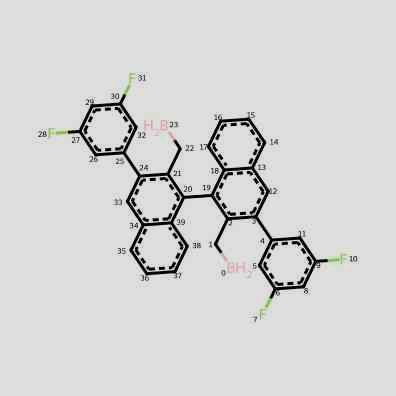 BCc1c(-c2cc(F)cc(F)c2)cc2ccccc2c1-c1c(CB)c(-c2cc(F)cc(F)c2)cc2ccccc12